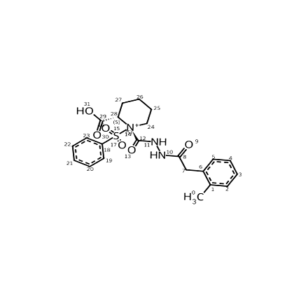 Cc1ccccc1CC(=O)NNC(=O)[N@+]1(S(=O)(=O)c2ccccc2)CCCC[C@H]1C(=O)O